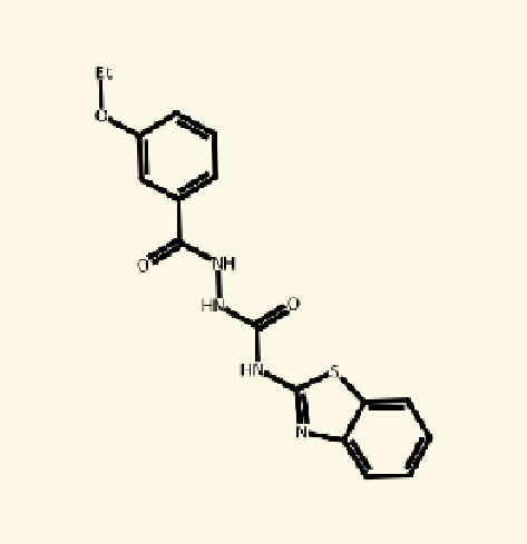 CCOc1cccc(C(=O)NNC(=O)Nc2nc3ccccc3s2)c1